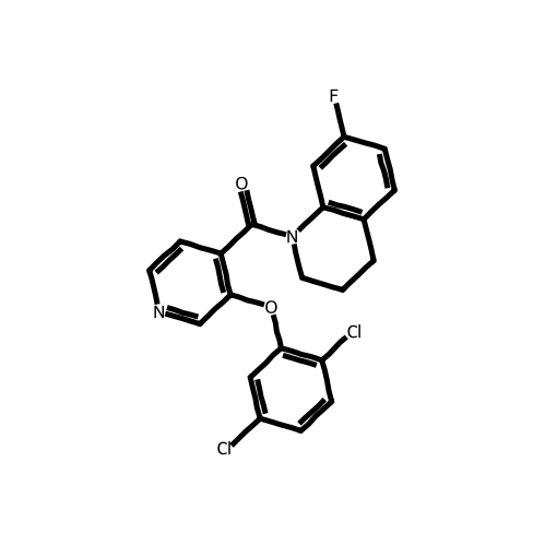 O=C(c1ccncc1Oc1cc(Cl)ccc1Cl)N1CCCc2ccc(F)cc21